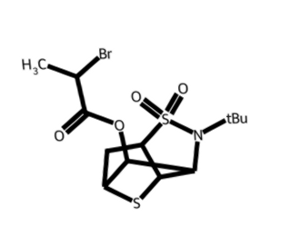 CC(Br)C(=O)OC1C2CC3C(S2)C1N(C(C)(C)C)S3(=O)=O